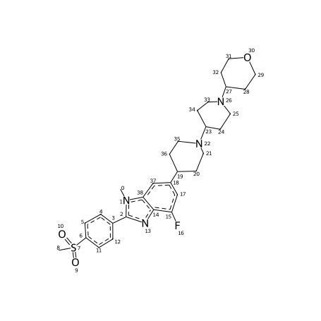 Cn1c(-c2ccc(S(C)(=O)=O)cc2)nc2c(F)cc(C3CCN(C4CCN(C5CCOCC5)CC4)CC3)cc21